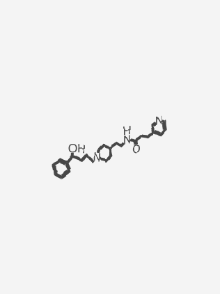 O=C(CCc1cccnc1)NCCC1CCN(CCCC(O)c2ccccc2)CC1